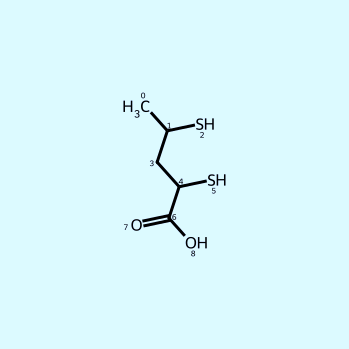 CC(S)CC(S)C(=O)O